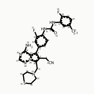 N#CCc1c(-c2ccc(NC(=O)Nc3cc(C(F)(F)F)ccc3F)c(F)c2)c2c(N)ncnn2c1CN1CCSCC1